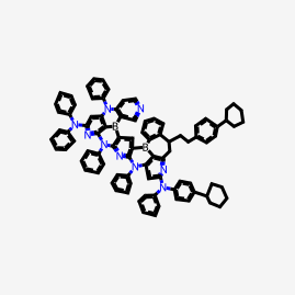 c1ccc(N(c2ccc(C3CCCCC3)cc2)c2cc3c4c(n2)CC(CCc2ccc(C5CCCCC5)cc2)c2ccccc2B4c2cc4c(nc2N3c2ccccc2)N(c2ccccc2)c2nc(N(c3ccccc3)c3ccccc3)cc3c2B4c2cnccc2N3c2ccccc2)cc1